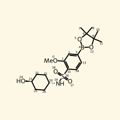 COc1cc(B2OC(C)(C)C(C)(C)O2)ccc1S(=O)(=O)N[C@H]1CC[C@H](O)CC1